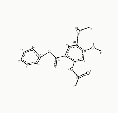 COc1cc(OC(C)=O)c(C(=O)Cc2ccccc2)cc1OC